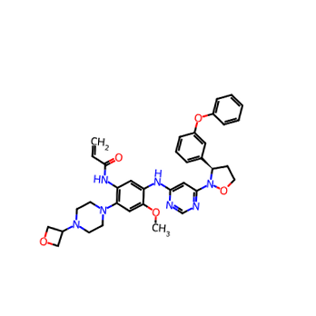 C=CC(=O)Nc1cc(Nc2cc(N3OCC[C@@H]3c3cccc(Oc4ccccc4)c3)ncn2)c(OC)cc1N1CCN(C2COC2)CC1